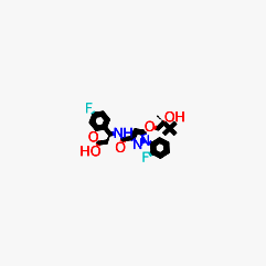 CC(C)(C)[C@](C)(O)COc1cc(C(=O)N[C@@H](CC(=O)O)c2ccc(F)cc2)nn1-c1ccccc1F